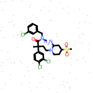 CN(Cc1cccc(Cl)c1)C(=O)C(C)(CCN1CCC(S(C)(=O)=O)CC1N)c1ccc(Cl)c(Cl)c1